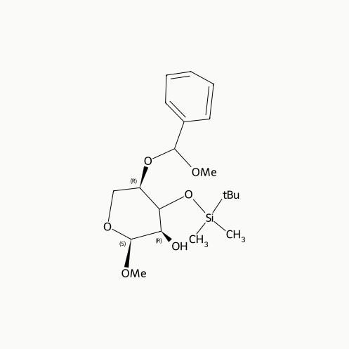 COC(O[C@@H]1CO[C@H](OC)[C@H](O)C1O[Si](C)(C)C(C)(C)C)c1ccccc1